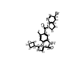 Cc1cc2c(cc1C(=O)N1CCc3cc(Br)cnc31)[nH]c(=O)c1cnc(C3CCOC3)n12